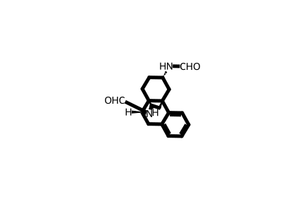 O=CN[C@H]1CC[C@H]2[C@H]3Cc4ccccc4[C@@]2(CCN3C=O)C1